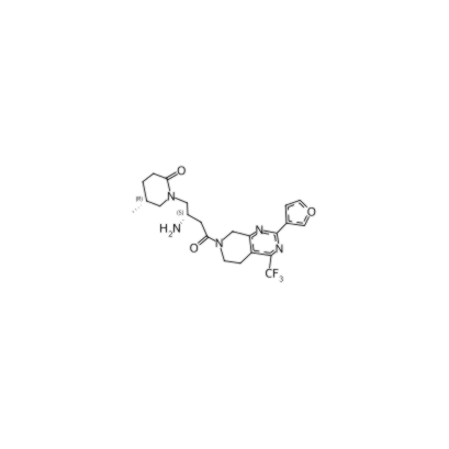 C[C@@H]1CCC(=O)N(C[C@@H](N)CC(=O)N2CCc3c(nc(-c4ccoc4)nc3C(F)(F)F)C2)C1